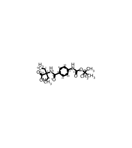 CCC(CC)(NC(=O)c1ccc(NC(=O)OC(C)(C)C)cc1)C(=O)O